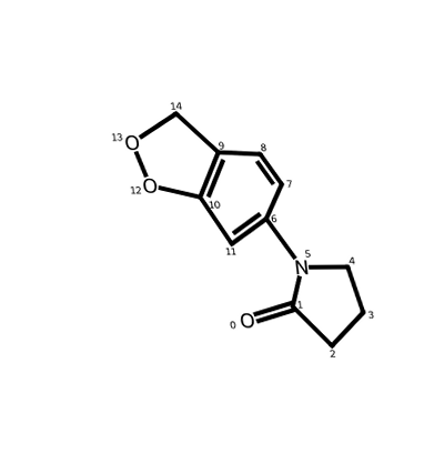 O=C1CCCN1c1ccc2c(c1)OOC2